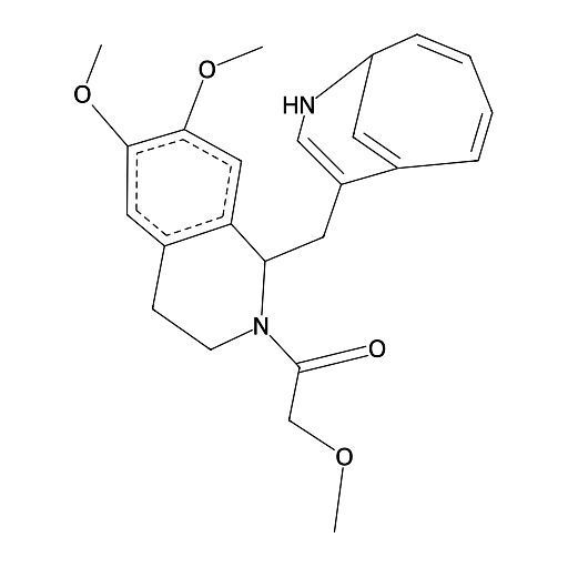 COCC(=O)N1CCc2cc(OC)c(OC)cc2C1CC1=CNC2C=CC=CC1=C2